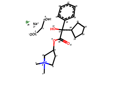 CCCCCCCCCCCC(=O)[O-].C[N+]1(C)CCC(OC(=O)C(O)(c2ccccc2)C2CCCC2)C1.[Br-].[Na+]